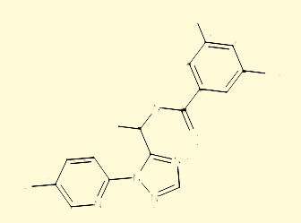 CC(NC(=O)c1cc(Cl)cc(C(F)(F)F)c1)c1ncnn1-c1ccc(Br)cn1